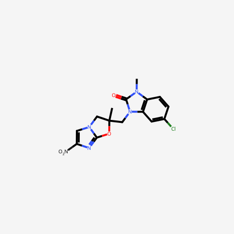 Cn1c(=O)n(CC2(C)Cn3cc([N+](=O)[O-])nc3O2)c2cc(Cl)ccc21